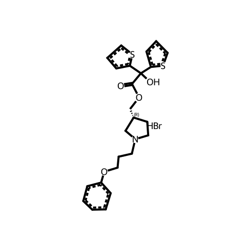 Br.O=C(OC[C@@H]1CCN(CCCOc2ccccc2)C1)C(O)(c1cccs1)c1cccs1